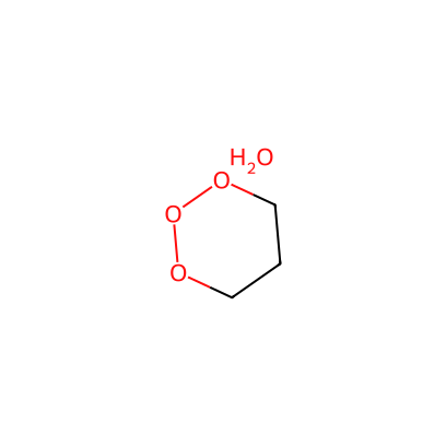 C1COOOC1.O